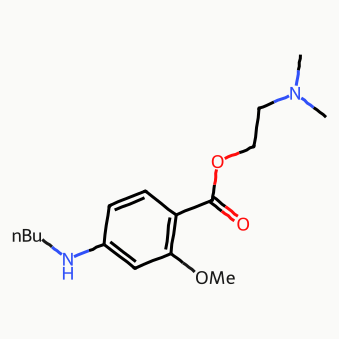 CCCCNc1ccc(C(=O)OCCN(C)C)c(OC)c1